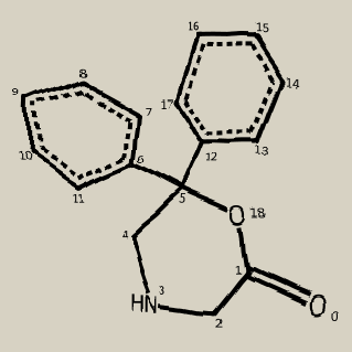 O=C1CNCC(c2ccccc2)(c2ccccc2)O1